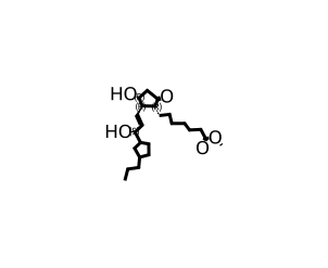 CCCC1CCC([C@H](O)C=C[C@H]2[C@H](O)CC(=O)[C@@H]2CCCCCCC(=O)OC)C1